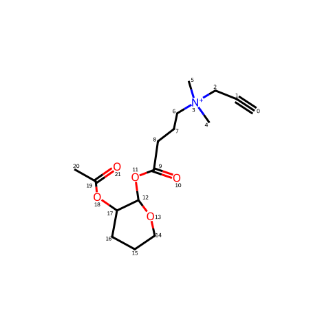 C#CC[N+](C)(C)CCCC(=O)OC1OCCCC1OC(C)=O